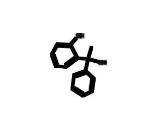 CC(O)(c1ccccc1)c1ccccc1O